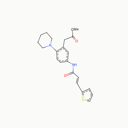 COC(=O)Cc1cc(NC(=O)/C=C/c2cccs2)ccc1N1CCCCC1